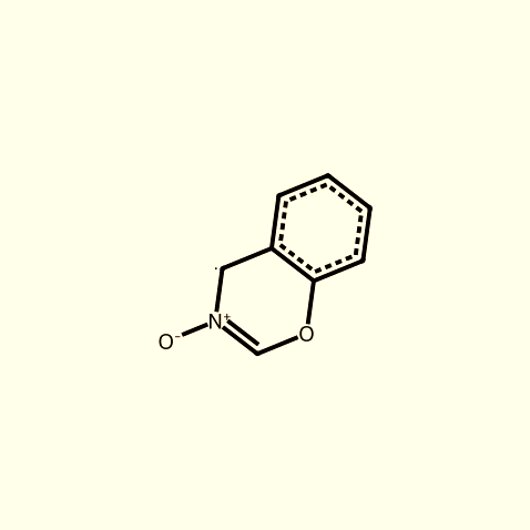 [O-][N+]1=COc2ccccc2[CH]1